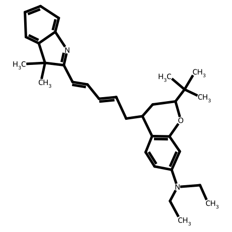 CCN(CC)c1ccc2c(c1)OC(C(C)(C)C)CC2C/C=C/C=C/C1=Nc2ccccc2C1(C)C